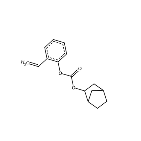 C=Cc1ccccc1OC(=O)OC1CC2CCC1C2